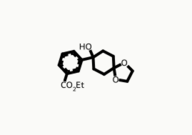 CCOC(=O)c1cccc(C2(O)CCC3(CC2)OCCO3)c1